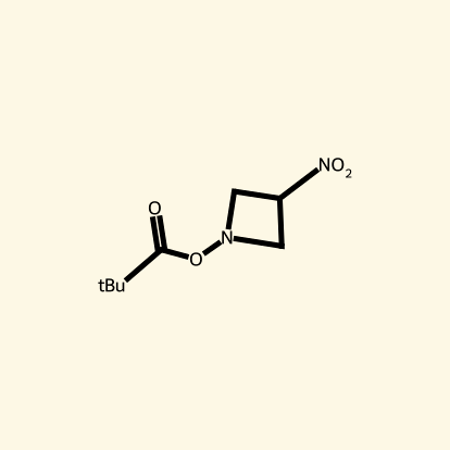 CC(C)(C)C(=O)ON1CC([N+](=O)[O-])C1